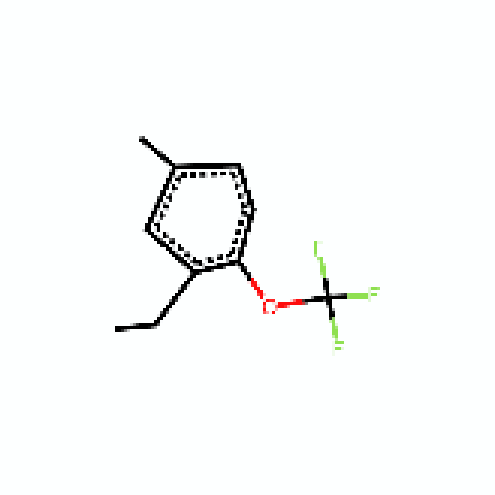 CCc1cc(C)ccc1OC(F)(F)F